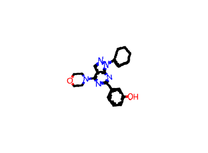 Oc1cccc(-c2nc(N3CCOCC3)c3cnn(C4CCCCC4)c3n2)c1